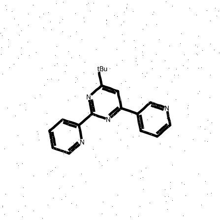 CC(C)(C)c1cc(-c2cccnc2)nc(-c2ccccn2)n1